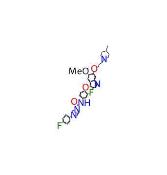 COc1cc2c(Oc3ccc(NC(=O)N4C=CN(c5ccc(F)cc5)C4)cc3F)ccnc2cc1OCCCN1CCC(C)CC1